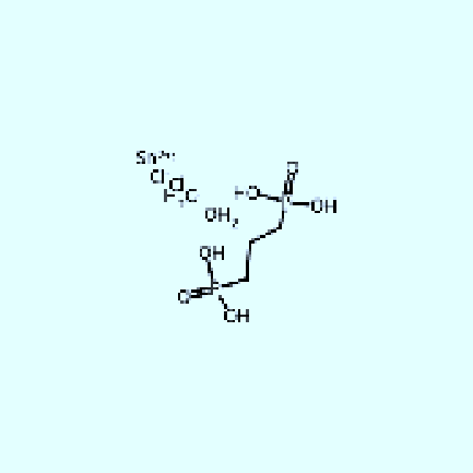 O.O.O=P(O)(O)CCCP(=O)(O)O.[Cl-].[Cl-].[Sn+2]